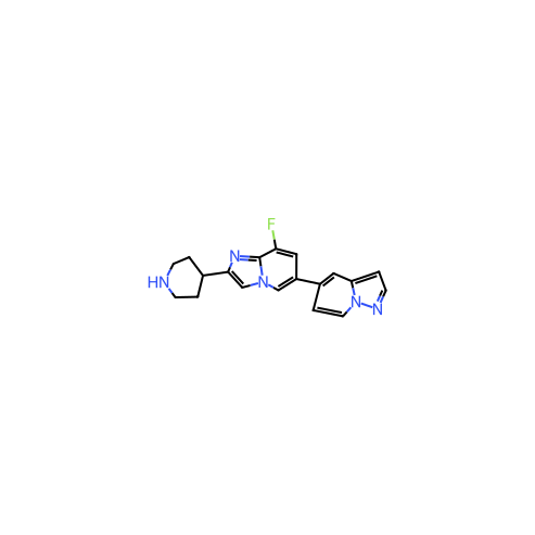 Fc1cc(-c2ccn3nccc3c2)cn2cc(C3CCNCC3)nc12